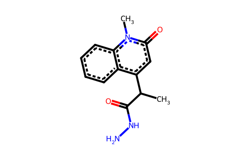 CC(C(=O)NN)c1cc(=O)n(C)c2ccccc12